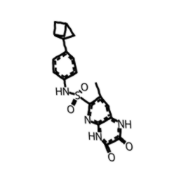 Cc1cc2[nH]c(=O)c(=O)[nH]c2nc1S(=O)(=O)Nc1ccc(C2CC3CC2C3)cc1